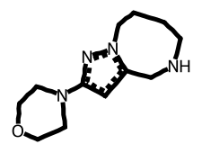 c1c(N2CCOCC2)nn2c1CNCCCC2